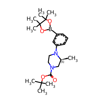 C[C@H]1CN(C(=O)OC(C)(C)C)CCN1c1cccc(B2OC(C)(C)C(C)(C)O2)c1